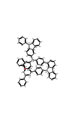 c1ccc(-c2nc(-c3ccccc3)nc(-c3ccc(-n4c5ccccc5c5cccc(-c6ccc(N(c7ccccc7)c7ccc8c(c7)c7ccccc7n8-c7ccccc7)cc6)c54)cc3)n2)cc1